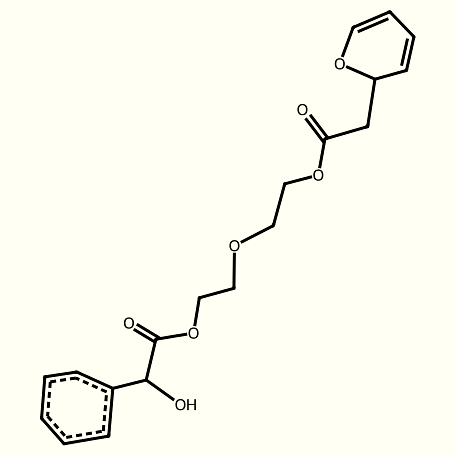 O=C(CC1C=CC=CO1)OCCOCCOC(=O)C(O)c1ccccc1